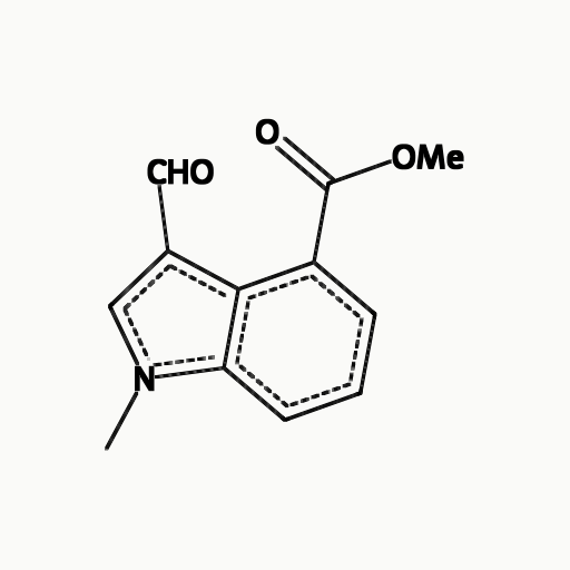 COC(=O)c1cccc2c1c(C=O)cn2C